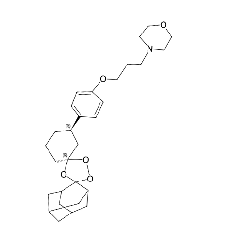 c1cc([C@@H]2CCC[C@]3(C2)OOC2(O3)C3CC4CC(C3)CC2C4)ccc1OCCCN1CCOCC1